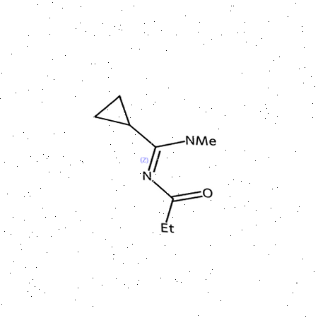 CCC(=O)/N=C(\NC)C1CC1